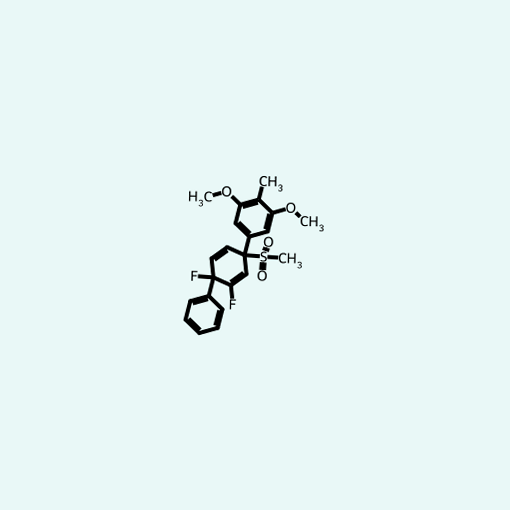 COc1cc(C2(S(C)(=O)=O)C=CC(F)(c3ccccc3)C(F)=C2)cc(OC)c1C